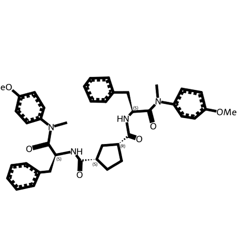 COc1ccc(N(C)C(=O)[C@H](Cc2ccccc2)NC(=O)[C@@H]2CC[C@H](C(=O)N[C@@H](Cc3ccccc3)C(=O)N(C)c3ccc(OC)cc3)C2)cc1